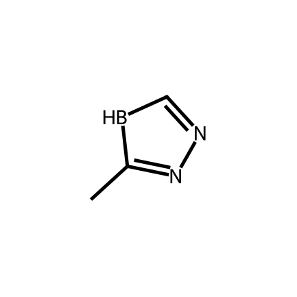 CC1=NN=CB1